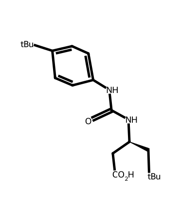 CC(C)(C)C[C@@H](CC(=O)O)NC(=O)Nc1ccc(C(C)(C)C)cc1